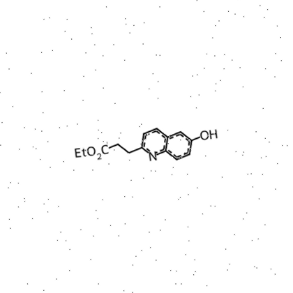 CCOC(=O)CCc1ccc2cc(O)ccc2n1